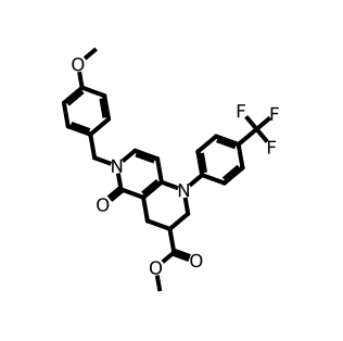 COC(=O)C1Cc2c(ccn(Cc3ccc(OC)cc3)c2=O)N(c2ccc(C(F)(F)F)cc2)C1